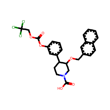 O=C(OCC(Cl)(Cl)Cl)Oc1cccc(C2CCN(C(=O)O)CC2OCc2ccc3ccccc3c2)c1